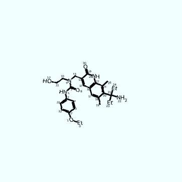 CCOc1ccc(NC(=O)N(CCO)Cc2cc3cc(C)c(C(N)(CC)CC)c(C)c3[nH]c2=O)cc1